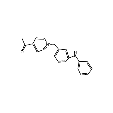 CC(=O)c1cc[n+](Cc2cccc(Bc3ccccc3)c2)cc1